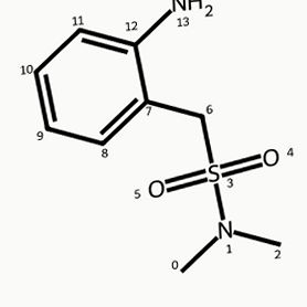 CN(C)S(=O)(=O)Cc1ccccc1N